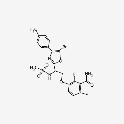 CS(=O)(=O)NC(COc1ccc(F)c(C(N)=O)c1F)c1nc(-c2ccc(C(F)(F)F)cc2)c(Br)o1